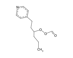 CCCC(CCc1ccncc1)OO[C]=O